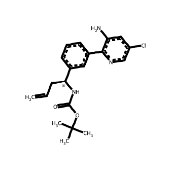 C=CC[C@H](NC(=O)OC(C)(C)C)c1cccc(-c2ncc(Cl)cc2N)c1